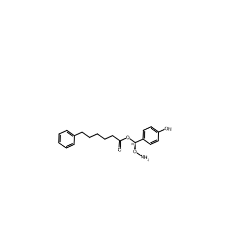 NO[C@@H](OC(=O)CCCCCc1ccccc1)c1ccc(O)cc1